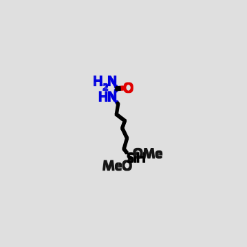 CO[SiH](CCCCCCNC(N)=O)OC